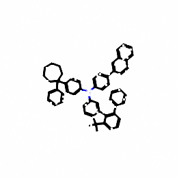 CC1(C)c2ccc(N(c3ccc(-c4ccc5ccccc5c4)cc3)c3ccc(C4(c5ccccc5)CCCCCC4)cc3)cc2-c2c(-c3ccccc3)cccc21